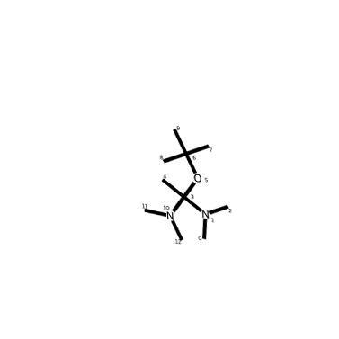 CN(C)C(C)(OC(C)(C)C)N(C)C